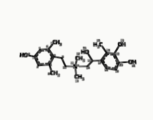 Cc1cc(O)cc(C)c1CC[N+](C)(C)CC(O)c1ccc(O)c(O)c1C